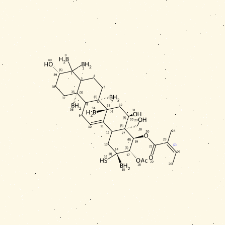 BC1(B)C2CC[C@]3(B)C(CC=C4C5C[C@@](B)(S)[C@@H](OC(C)=O)[C@H](OC(=O)/C(C)=C\C)[C@]5(CO)[C@H](O)C[C@]43B)[C@@]2(B)CC[C@@H]1O